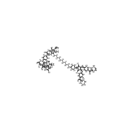 C=C(CNC(=C)C(NC(=C)CCCCCCCCCCCc1ccc(-n2c(=C)c(Sc3ccc(C(=C)N4CCCCC4)cc3)c(Sc3ccc(C(=C)N4CCCCC4)cc3)c2=C)cc1)C(C)C)Nc1ccc(CCC(=C)N(C)C(C(=C)NCC(=C)N(C)C(C(C)CC)C(CC)CC)C(C)C)cc1